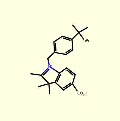 CCCC(C)(C)c1ccc(C[N+]2=C(C)C(C)(C)c3cc(C(=O)O)ccc32)cc1